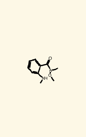 CNc1ccccc1C(=O)N(C)OC